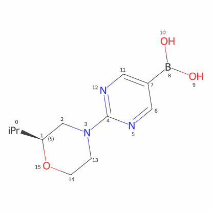 CC(C)[C@H]1CN(c2ncc(B(O)O)cn2)CCO1